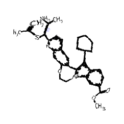 C=C(C)S/C(=C(/C)N)c1ccc2cc3c(cc2n1)OCCn1c-3c(C2CCCCC2)c2ccc(C(=O)OC)cc21